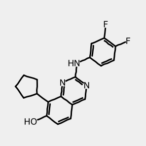 Oc1ccc2cnc(Nc3ccc(F)c(F)c3)nc2c1C1CCCC1